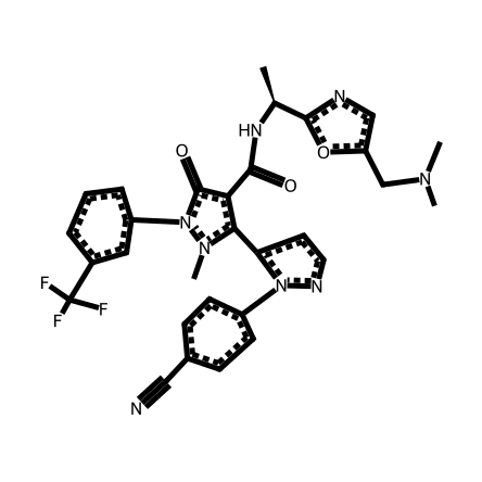 C[C@H](NC(=O)c1c(-c2ccnn2-c2ccc(C#N)cc2)n(C)n(-c2cccc(C(F)(F)F)c2)c1=O)c1ncc(CN(C)C)o1